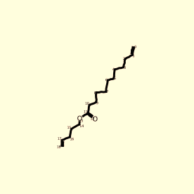 C=CCCCCCCCCCC(=O)OCCCC=C